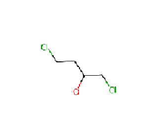 [O]C(CCl)CCCl